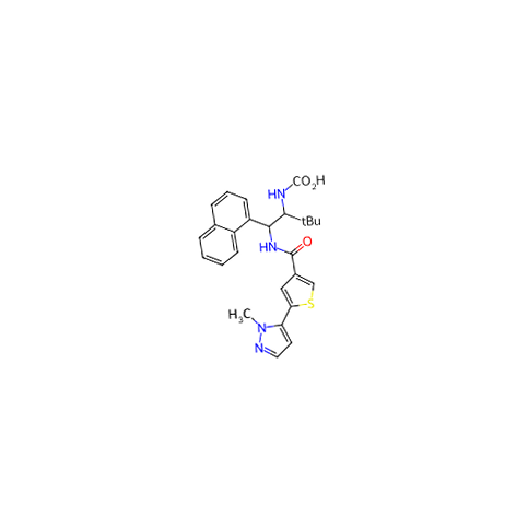 Cn1nccc1-c1cc(C(=O)NC(c2cccc3ccccc23)C(NC(=O)O)C(C)(C)C)cs1